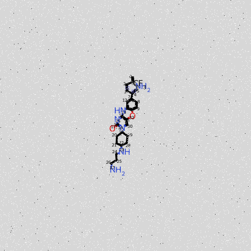 C=C(/C=C\C(=C/N)c1ccc2c(c1)Nc1nc(=O)n(C3CCC(NCCCN)CC3)cc1O2)C(F)(F)F